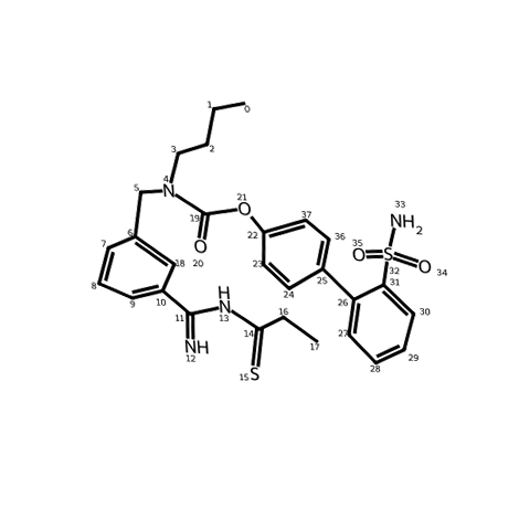 CCCCN(Cc1cccc(C(=N)NC(=S)CC)c1)C(=O)Oc1ccc(-c2ccccc2S(N)(=O)=O)cc1